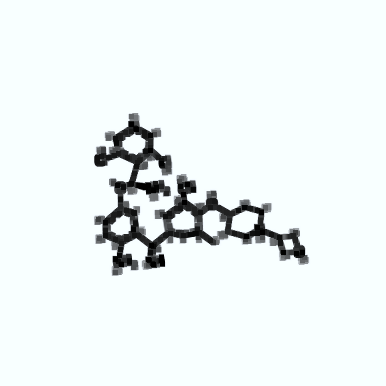 Cc1cc(C(=N)c2cc(O[C@H](N)c3c(Cl)cncc3Cl)ccc2N)cc(C#N)c1OC1CCN(C2COC2)CC1